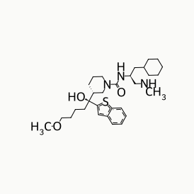 CNC[C@H](CC1CCCCC1)NC(=O)N1CCC[C@@H]([C@@](O)(CCCCOC)c2cc3ccccc3s2)C1